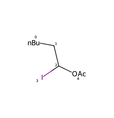 CCCCCC(I)OC(C)=O